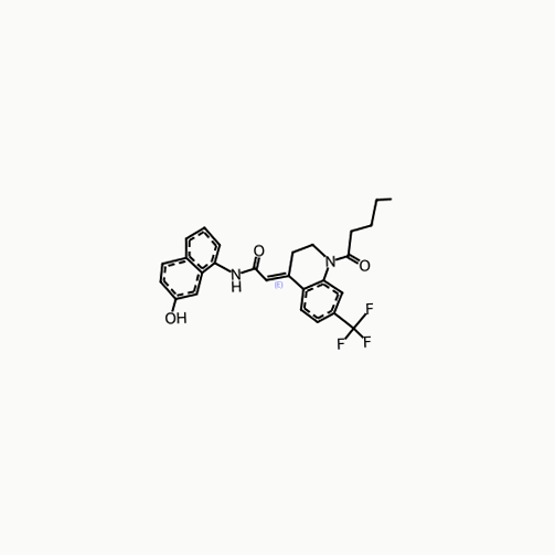 CCCCC(=O)N1CC/C(=C\C(=O)Nc2cccc3ccc(O)cc23)c2ccc(C(F)(F)F)cc21